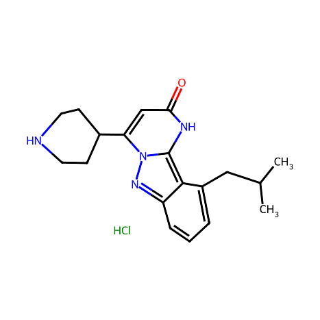 CC(C)Cc1cccc2nn3c(C4CCNCC4)cc(=O)[nH]c3c12.Cl